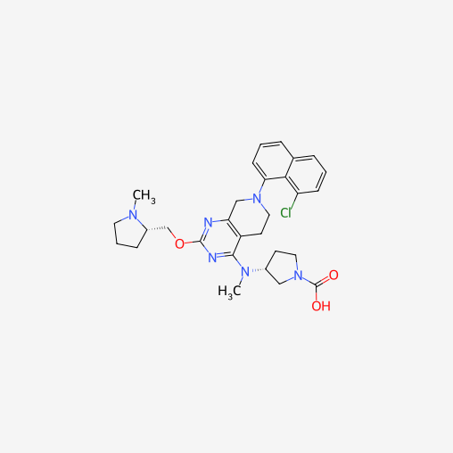 CN1CCC[C@H]1COc1nc2c(c(N(C)[C@@H]3CCN(C(=O)O)C3)n1)CCN(c1cccc3cccc(Cl)c13)C2